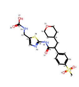 CS(=O)(=O)c1ccc(C(CC2CCOCC2)C(=O)Nc2ncc(CNC(=O)O)s2)cc1